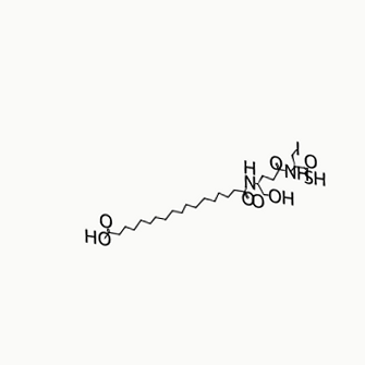 O=C(O)CCCCCCCCCCCCCCCCC(=O)N[C@@H](CCC(=O)N[C@@H](CI)C(=O)S)C(=O)O